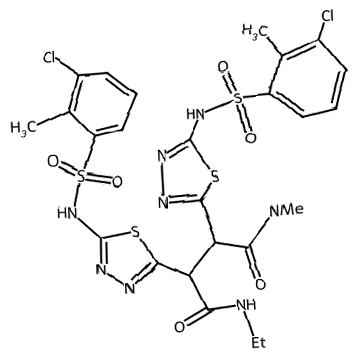 CCNC(=O)C(c1nnc(NS(=O)(=O)c2cccc(Cl)c2C)s1)C(C(=O)NC)c1nnc(NS(=O)(=O)c2cccc(Cl)c2C)s1